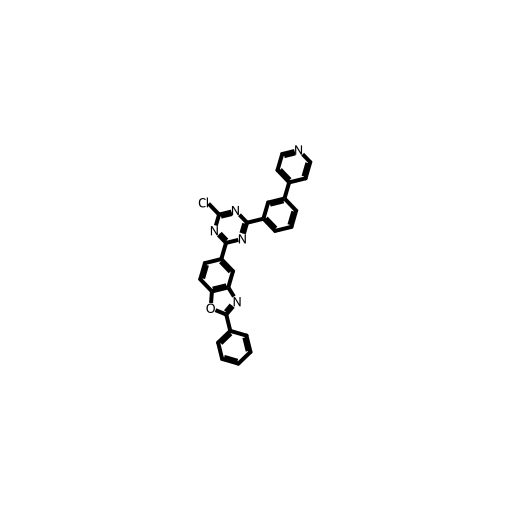 Clc1nc(-c2cccc(-c3ccncc3)c2)nc(-c2ccc3oc(-c4ccccc4)nc3c2)n1